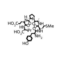 CSCC[C@H](NC(=O)[C@@H](N)Cc1ccc(O)cc1)C(=O)N[C@@H](C)C(=O)N1CCC[C@H]1C(=O)N[C@H](CCC(=O)O)C(=O)N[C@H](C(=O)O)C(C)C